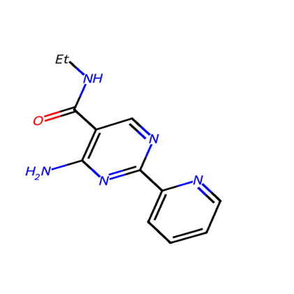 CCNC(=O)c1cnc(-c2ccccn2)nc1N